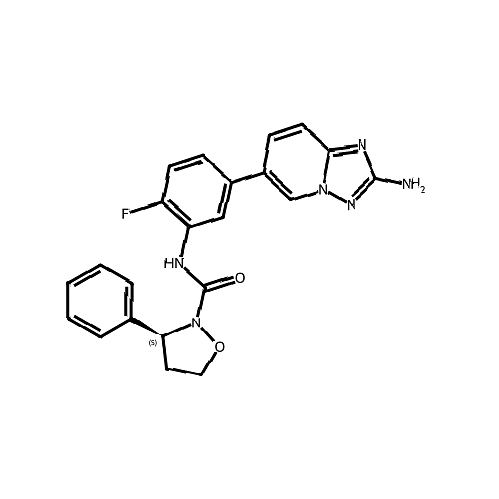 Nc1nc2ccc(-c3ccc(F)c(NC(=O)N4OCC[C@H]4c4ccccc4)c3)cn2n1